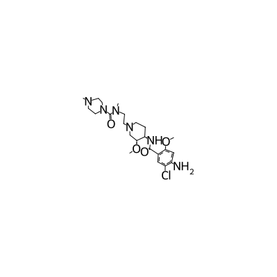 COc1cc(N)c(Cl)cc1C(=O)N[C@@H]1CCN(CCN(C)C(=O)N2CCN(C)CC2)C[C@@H]1OC